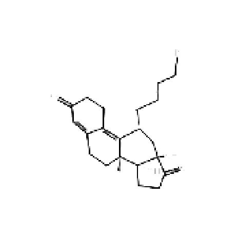 C[C@]12C[C@H](CCCCBr)C3=C4CCC(=O)C=C4CC[C@H]3[C@@H]1CCC2=O